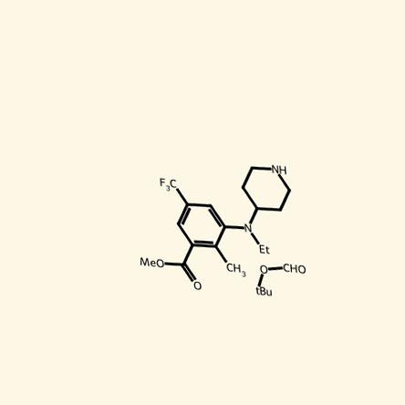 CC(C)(C)OC=O.CCN(c1cc(C(F)(F)F)cc(C(=O)OC)c1C)C1CCNCC1